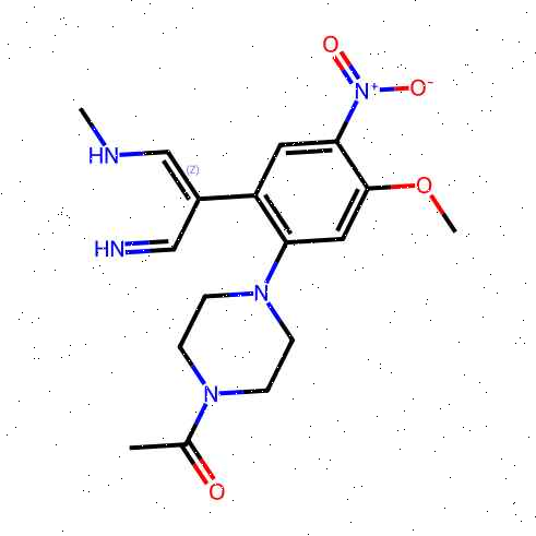 CN/C=C(\C=N)c1cc([N+](=O)[O-])c(OC)cc1N1CCN(C(C)=O)CC1